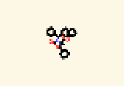 CC1(C(=O)Oc2ccccc2)C(c2ccccc2)OC(=O)N1C(c1ccccc1)c1ccccc1